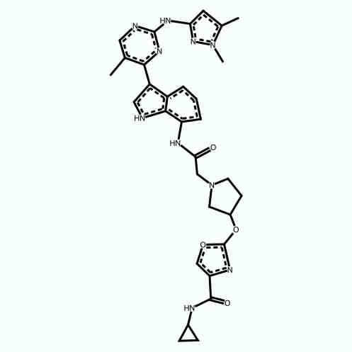 Cc1cnc(Nc2cc(C)n(C)n2)nc1-c1c[nH]c2c(NC(=O)CN3CCC(Oc4nc(C(=O)NC5CC5)co4)C3)cccc12